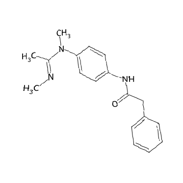 CN=C(C)N(C)c1ccc(NC(=O)Cc2ccccc2)cc1